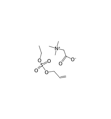 C=CCOS(=O)(=O)OCC.C[N+](C)(C)CC(=O)[O-]